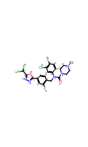 CCN1CCN(C(=O)N(Cc2ccc(-c3nnc(C(F)F)o3)cc2F)c2ccc(F)c(Cl)c2)CC1